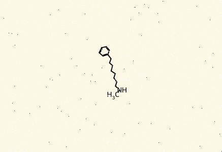 CNCCCCCCCCc1ccccc1